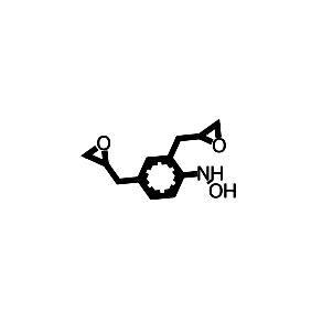 ONc1ccc(CC2CO2)cc1CC1CO1